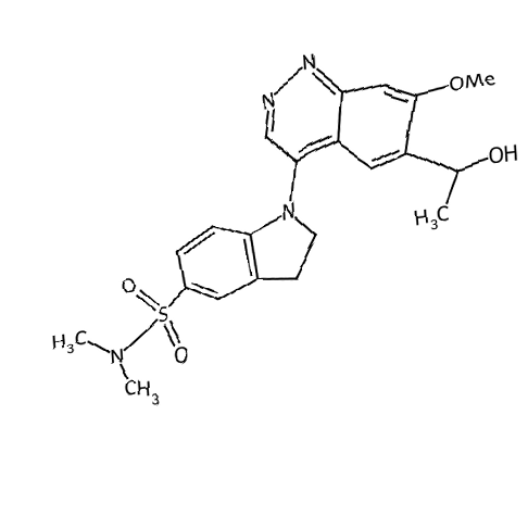 COc1cc2nncc(N3CCc4cc(S(=O)(=O)N(C)C)ccc43)c2cc1C(C)O